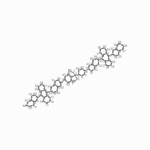 FCC(CF)(c1ccc(-c2ccc3cc(-c4c5ccccc5c(-c5ccc6ccccc6c5)c5ccccc45)ccc3c2)cc1)c1ccc(-c2ccc3cc(-c4c5ccccc5c(-c5ccc6ccccc6c5)c5ccccc45)ccc3c2)cc1